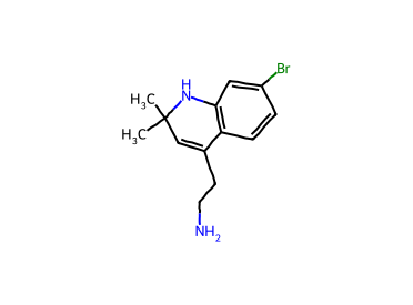 CC1(C)C=C(CCN)c2ccc(Br)cc2N1